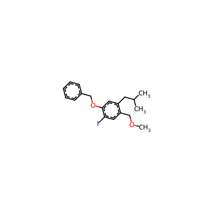 COCc1cc(I)c(OCc2ccccc2)cc1CC(C)C